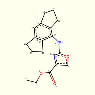 CCOC(=O)c1coc(Nc2c3c(cc4c2CCC4)CCC3)n1